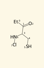 CCC(=O)C(CS)NCl